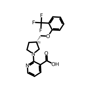 O=C(O)c1cccnc1N1CC[C@H](COc2ccccc2C(F)(F)F)C1